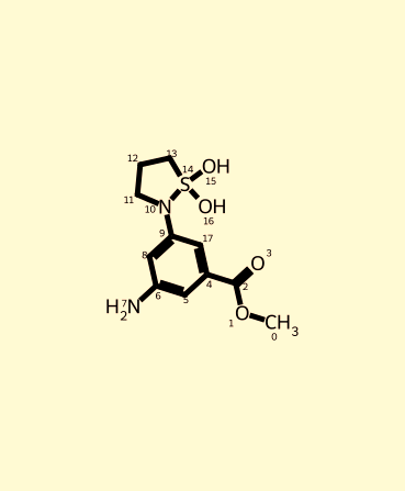 COC(=O)c1cc(N)cc(N2CCCS2(O)O)c1